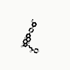 COc1cccc(N2CCN(c3ccc4c(c3)CC[C@H]3[C@@H]5[C@@H](CCCC(=O)N6CCOCC6)CC(=O)[C@@]5(C)CC[C@H]43)CC2)c1